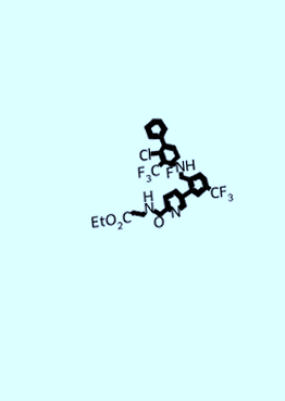 CCOC(=O)CCNC(=O)c1ccc(-c2cc(C(F)(F)F)ccc2CNC2(F)CC=C(c3ccccc3)C(Cl)=C2C(F)(F)F)cn1